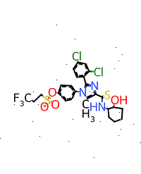 Cc1c(C(=S)NC2CCCCC2O)nc(-c2ccc(Cl)cc2Cl)n1-c1ccc(OS(=O)(=O)CCC(F)(F)F)cc1